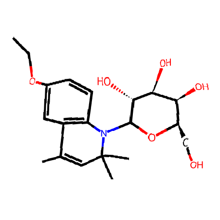 CCOc1ccc2c(c1)C(C)=CC(C)(C)N2C1O[C@H](CO)[C@H](O)[C@H](O)[C@H]1O